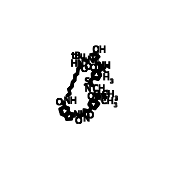 Cc1ncsc1-c1ccc([C@H](C)NC(=O)[C@@H]2C[C@@H](O)CN2C(=O)[C@@H](NC(=O)CCCCCCCCCNC(=O)c2ccc3c(c2)[C@H](NC(=O)c2cc(-c4ccc(C(=O)N(C)C)c(O)c4)on2)CC3)C(C)(C)C)cc1